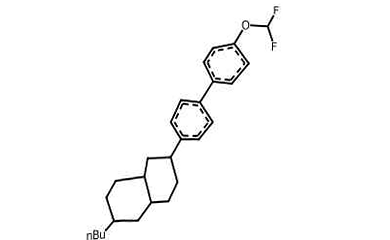 CCCCC1CCC2CC(c3ccc(-c4ccc(OC(F)F)cc4)cc3)CCC2C1